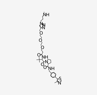 CNCCCn1cc(COCCOCCOCCC(=O)NC(C(=O)N2CCCC2C(=O)NCc2ccc(-c3scnc3C)cc2)C(C)(C)C)nn1